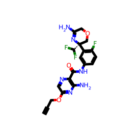 C#CCOc1cnc(C(=O)Nc2ccc(F)c([C@]3(C(F)F)COCC(N)=N3)c2)c(N)n1